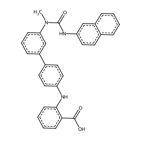 CN(C(=O)Nc1ccc2ccccc2c1)c1cccc(-c2ccc(Nc3ccccc3C(=O)O)cc2)c1